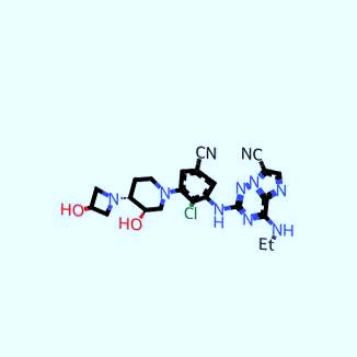 CCNc1nc(Nc2cc(C#N)cc(N3CC[C@@H](N4CC(O)C4)[C@H](O)C3)c2Cl)nn2c(C#N)cnc12